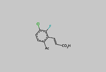 CC(=O)c1ccc(Cl)c(F)c1/C=C/C(=O)O